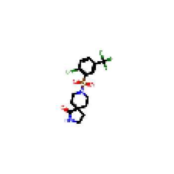 O=C1NCCC12CCN(S(=O)(=O)c1cc(C(F)(F)F)ccc1Br)CC2